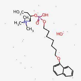 C[N+](C)(C)C[C@@H](CC(=O)O)OP(=O)(O)OCCCCCCCOc1cccc2ccccc12.[OH-]